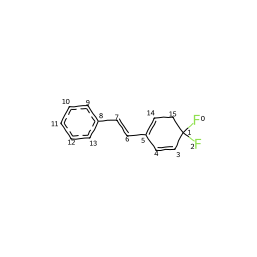 FC1(F)C=CC(C=Cc2ccccc2)=CC1